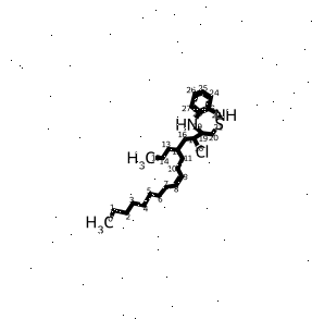 CCCCCCCC/C=C\CCC(CCC)CC(Cl)C1CSNc2ccccc2N1